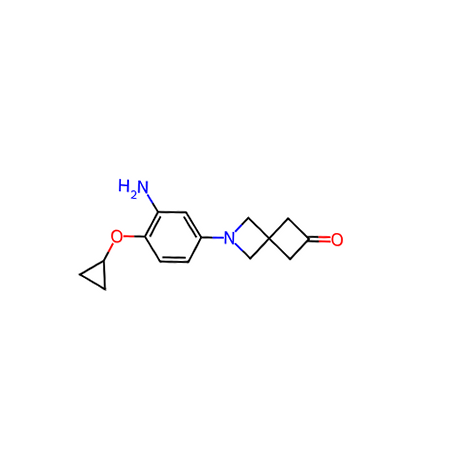 Nc1cc(N2CC3(CC(=O)C3)C2)ccc1OC1CC1